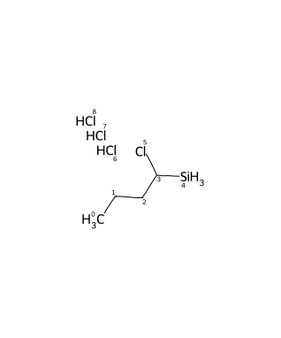 CCCC([SiH3])Cl.Cl.Cl.Cl